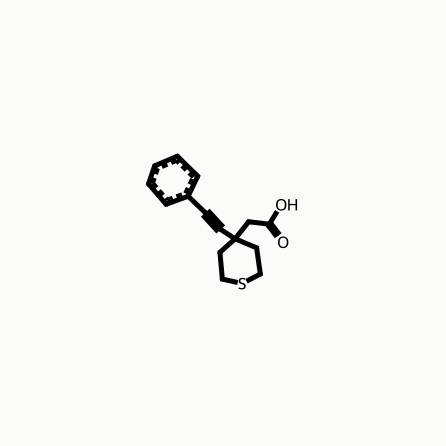 O=C(O)CC1(C#Cc2ccccc2)CCSCC1